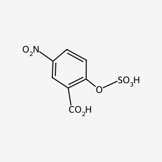 O=C(O)c1cc([N+](=O)[O-])ccc1OS(=O)(=O)O